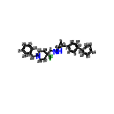 FC1(CNC2CC2c2ccc(-c3ccccc3)cc2)CCN(Cc2ccccc2)CC1